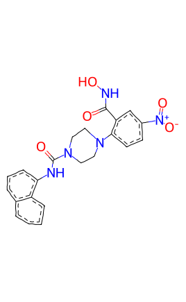 O=C(NO)c1cc([N+](=O)[O-])ccc1N1CCN(C(=O)Nc2cccc3ccccc23)CC1